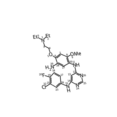 CCN(CC)CCOc1cc(OC)c(Nc2cc(Nc3ccc(F)c(Cl)c3)ncn2)cc1N